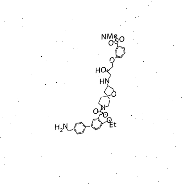 CCOc1ccc(-c2ccc(CN)cc2)cc1S(=O)(=O)N1CCC2(CC1)CC(NC[C@H](O)COc1cccc(S(=O)(=O)NC)c1)CO2